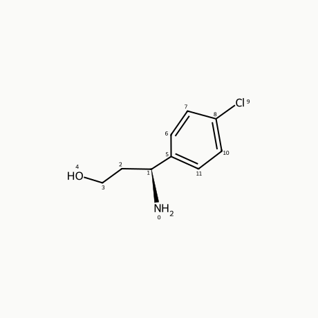 N[C@@H](CCO)c1ccc(Cl)cc1